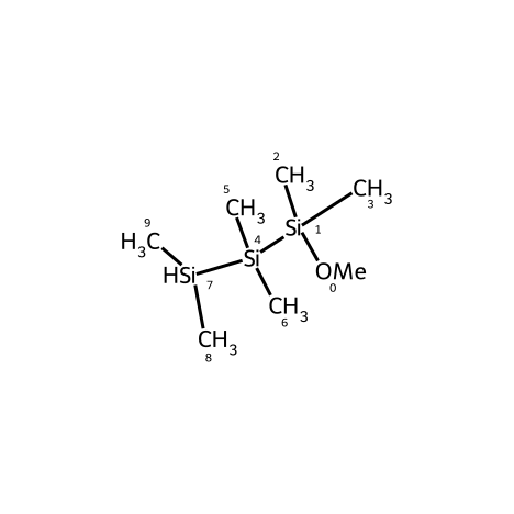 CO[Si](C)(C)[Si](C)(C)[SiH](C)C